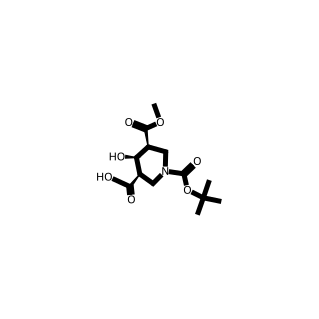 COC(=O)[C@H]1CN(C(=O)OC(C)(C)C)C[C@@H](C(=O)O)[C@H]1O